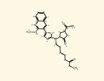 CCC(=O)CCCCC[C@@H](c1ncc(-c2cc3ccccc3nc2OC)o1)N1CC(C(N)=O)CC1=O